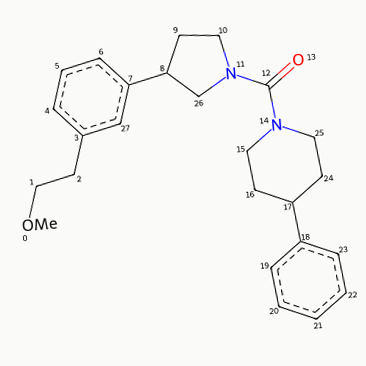 COCCc1cccc(C2CCN(C(=O)N3CCC(c4ccccc4)CC3)C2)c1